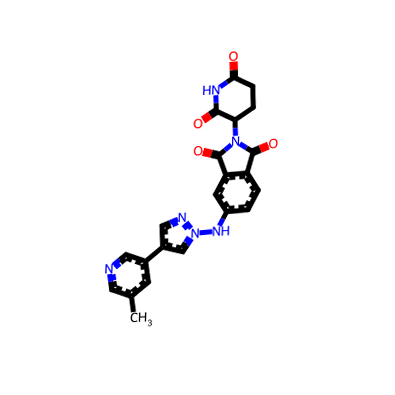 Cc1cncc(-c2cnn(Nc3ccc4c(c3)C(=O)N(C3CCC(=O)NC3=O)C4=O)c2)c1